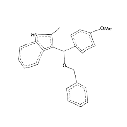 COc1ccc(C(OCc2ccccc2)c2c(C)[nH]c3ccccc23)cc1